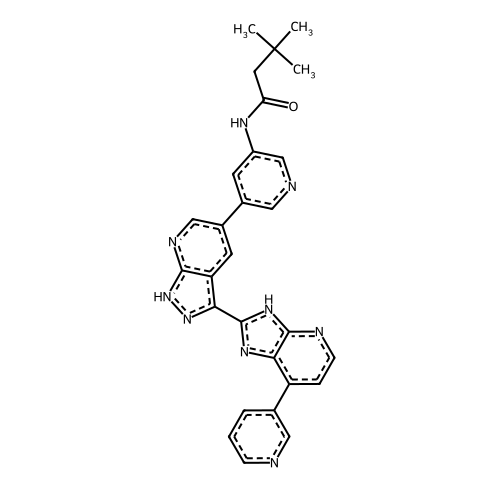 CC(C)(C)CC(=O)Nc1cncc(-c2cnc3[nH]nc(-c4nc5c(-c6cccnc6)ccnc5[nH]4)c3c2)c1